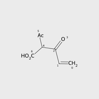 C=CC(=O)C(C(C)=O)C(=O)O